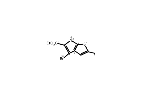 CCOC(=O)c1[nH]c2sc(C)cc2c1Br